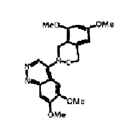 COc1cc2c(c(OC)c1)CN(c1cnnc3cc(OC)c(OC)cc13)CC2